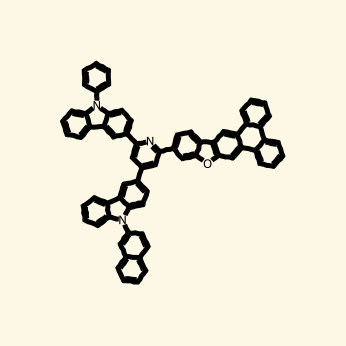 c1ccc(-n2c3ccccc3c3cc(-c4cc(-c5ccc6c(c5)c5ccccc5n6-c5ccc6ccccc6c5)cc(-c5ccc6c(c5)oc5cc7c8ccccc8c8ccccc8c7cc56)n4)ccc32)cc1